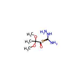 COC(C)(C=O)OC.NNC(N)=S